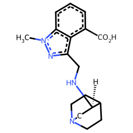 Cn1nc(CN[C@@H]2CN3CCC2CC3)c2c(C(=O)O)cccc21